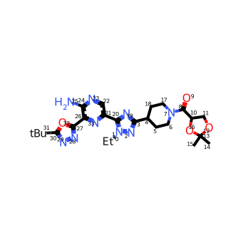 CCn1nc(C2CCN(C(=O)C3COC(C)(C)O3)CC2)nc1-c1cnc(N)c(-c2nnc(C(C)(C)C)o2)n1